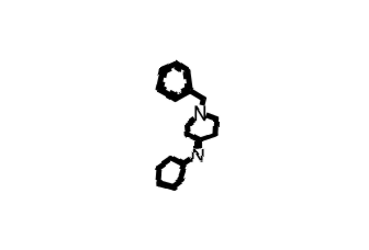 c1ccc(CN2CCC(=NC3CCCCC3)CC2)cc1